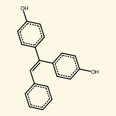 Oc1ccc(C(=Cc2ccccc2)c2ccc(O)cc2)cc1